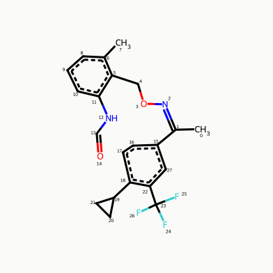 CC(=NOCc1c(C)cccc1NC=O)c1ccc(C2CC2)c(C(F)(F)F)c1